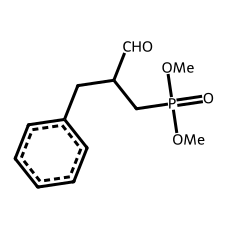 COP(=O)(CC(C=O)Cc1ccccc1)OC